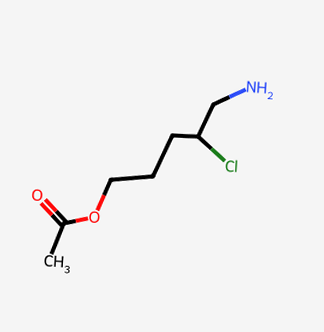 CC(=O)OCCCC(Cl)CN